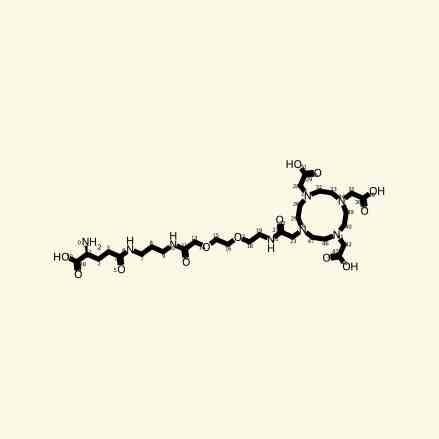 N[C@@H](CCC(=O)NCCCNC(=O)COCCOCCNC(=O)CN1CCN(CC(=O)O)CCN(CC(=O)O)CCN(CC(=O)O)CC1)C(=O)O